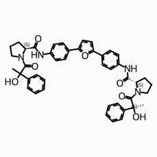 CC(O)(C(=O)N1CCC[C@H]1C(=O)Nc1ccc(-c2ccc(-c3ccc(NC(=O)[C@@H]4CCCN4C(=O)[C@@](C)(O)c4ccccc4)cc3)o2)cc1)c1ccccc1